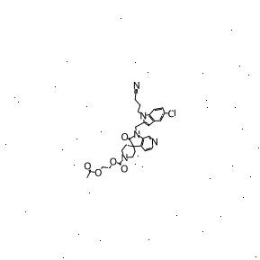 CC(=O)OCCOC(=O)N1CCC2(CC1)C(=O)N(Cc1cc3cc(Cl)ccc3n1CCCC#N)c1cnccc12